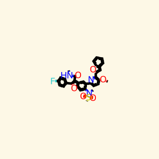 CNC(=O)c1c(-c2ccc(F)cc2)oc2cc(N(C)S(C)(=O)=O)c(-c3ccc(OC)c(-c4cc5ccccc5o4)n3)cc12